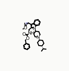 CO/N=C\c1c(CNC(=O)OCc2ccccc2)n(C2CCN([C@H]3CC[C@@H](C(C)C)CC3)CC2)c2ccccc12